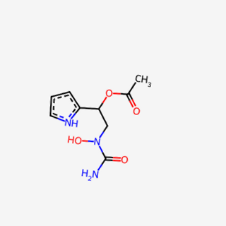 CC(=O)OC(CN(O)C(N)=O)c1ccc[nH]1